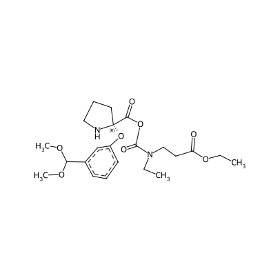 CCOC(=O)CCN(CC)C(=O)OC(=O)[C@]1(Oc2cccc(C(OC)OC)c2)CCCN1